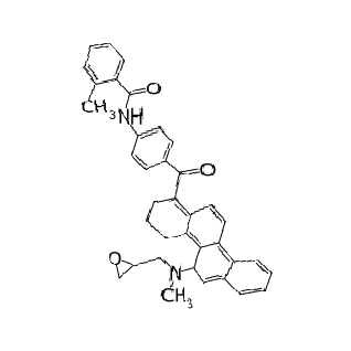 Cc1ccccc1C(=O)Nc1ccc(C(=O)C2=c3ccc4c(c3CCC2)C(N(C)CC2CO2)C=c2ccccc2=4)cc1